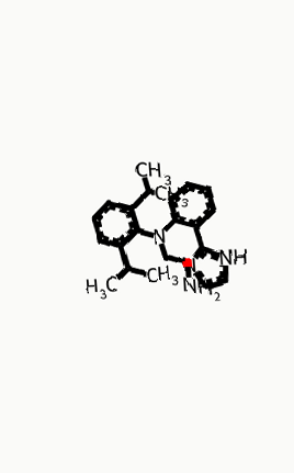 CC(C)c1cccc(C(C)C)c1N(CCN)c1ccccc1-c1ncc[nH]1